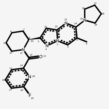 Cc1cn2nc([C@@H]3CCCCN3C(=O)c3cccc(F)n3)cc2nc1N1CCCC1